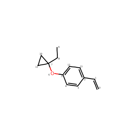 C=Cc1ccc(OC2(CC)CC2)cc1